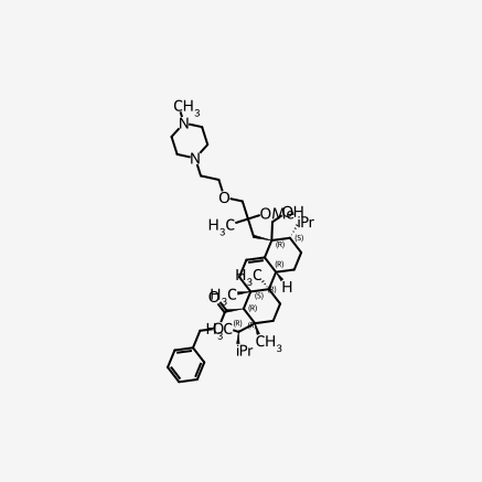 COC(C)(COCCN1CCN(C)CC1)C[C@]1(CO)C2=CC[C@@]3(C)[C@H](C(=O)OCc4ccccc4)[C@@](C)([C@H](C)C(C)C)CC[C@]3(C)[C@H]2CC[C@H]1C(C)C